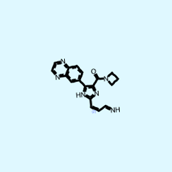 N=C/C=C\c1nc(C(=O)N2CCC2)c(-c2ccc3nccnc3c2)[nH]1